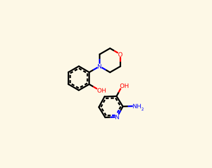 Nc1ncccc1O.Oc1ccccc1N1CCOCC1